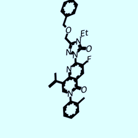 C=C(C)c1cn(-c2ccccc2C)c(=O)c2cc(F)c(-n3nc(COCc4ccccc4)n(CC)c3=O)nc12